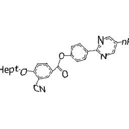 CCCCCCCOc1ccc(C(=O)Oc2ccc(-c3ncc(CCC)cn3)cc2)cc1C#N